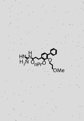 CCCOc1c(CCC(=O)NC(=N)N)ccc(-c2ccccc2)c1OCCCOC